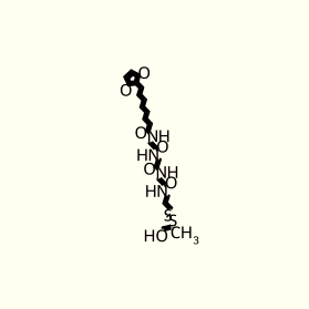 CC(CO)SSCCCNC(=O)CNC(=O)CNC(=O)CNC(=O)CCCCCCCC1C(=O)C=CC1=O